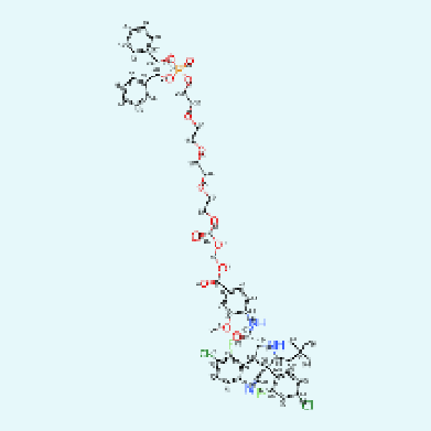 COc1cc(C(=O)OCOC(=O)OCCOCCOCCOCCOP(=O)(OCc2ccccc2)OCc2ccccc2)ccc1NC(=O)[C@@H]1NC(CC(C)(C)C)[C@](C#N)(c2ccc(Cl)cc2F)C1c1cccc(Cl)c1F